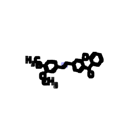 COc1ccc(/C=C/c2ccc3c(=O)c4ccccc4oc3c2)cc1OC